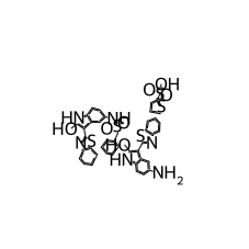 Nc1ccc2[nH]c(O)c(-c3nc4ccccc4s3)c2c1.O=S(=O)(Cc1ccccc1)Nc1ccc2[nH]c(O)c(-c3nc4ccccc4s3)c2c1.O=S(=O)(O)c1cccs1